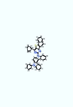 C1=CC2c3c(ccc4c3c3ccccc3n4-c3ccccc3)N(c3nc(-c4ccccc4)c4sc5c6ccccc6ccc5c4n3)C2C=C1